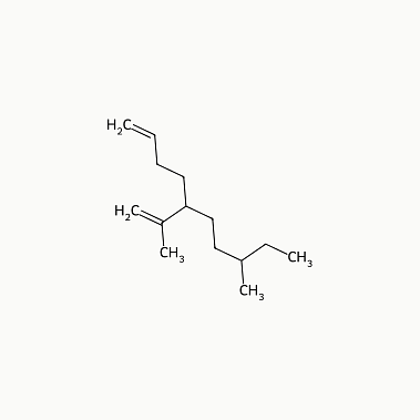 C=CCCC(CCC(C)CC)C(=C)C